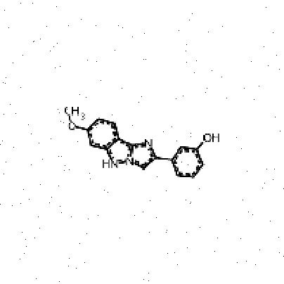 COc1ccc2c(c1)[nH]n1cc(-c3cccc(O)c3)nc21